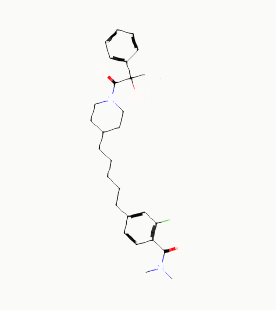 CN(C)C(=O)c1ccc(CCCCCC2CCN(C(=O)C(O)(c3ccccc3)C(F)(F)F)CC2)cc1Cl